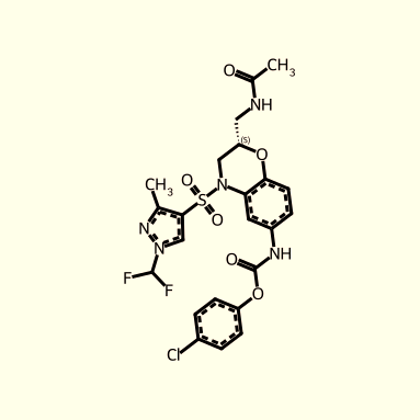 CC(=O)NC[C@H]1CN(S(=O)(=O)c2cn(C(F)F)nc2C)c2cc(NC(=O)Oc3ccc(Cl)cc3)ccc2O1